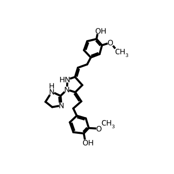 COc1cc(CC=C2CC(=CCc3ccc(O)c(OC)c3)N(C3=NCCN3)N2)ccc1O